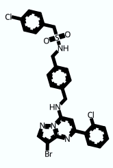 O=S(=O)(Cc1ccc(Cl)cc1)NCc1ccc(CNc2cc(-c3ccccc3Cl)nc3c(Br)cnn23)cc1